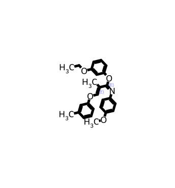 CCOc1cccc(OC(=N/c2ccc(OC)cc2)/C(C)=C/Oc2cccc(C)c2)c1